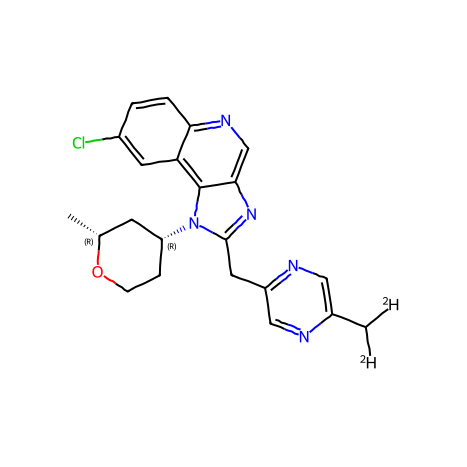 [2H]C([2H])c1cnc(Cc2nc3cnc4ccc(Cl)cc4c3n2[C@@H]2CCO[C@H](C)C2)cn1